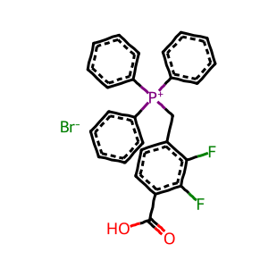 O=C(O)c1ccc(C[P+](c2ccccc2)(c2ccccc2)c2ccccc2)c(F)c1F.[Br-]